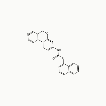 O=C(Nc1ccc2c(c1)OCc1cnccc1-2)Oc1cccc2ccccc12